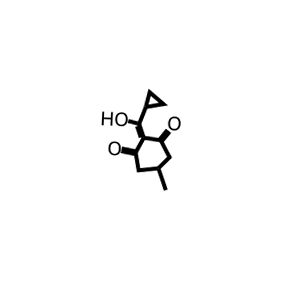 CC1CC(=O)C(=C(O)C2CC2)C(=O)C1